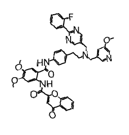 COc1cncc(CN(CCc2ccc(NC(=O)c3cc(OC)c(OC)cc3NC(=O)c3cc(=O)c4ccccc4o3)cc2)Cc2cnc(-c3ccccc3F)nc2)c1